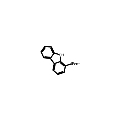 CCCC(C)c1cccc2c1[pH]c1ccccc12